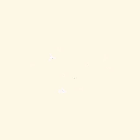 COCCCN1CCOc2ccc(CO[C@H]3CNC[C@@H](O)[C@@H]3c3ccc(Oc4ccc(OC)c(OC)c4)cc3)cc21